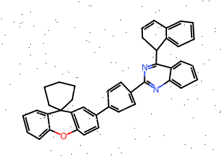 C1=Cc2ccccc2C(c2nc(-c3ccc(-c4ccc5c(c4)C4(CCCCC4)c4ccccc4O5)cc3)nc3ccccc23)C1